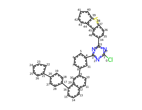 Clc1nc(-c2cccc(-c3ccc4cccc(-c5ccc(-c6ccccc6)cc5)c4c3)c2)nc(-c2ccc3sc4ccccc4c3c2)n1